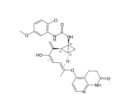 C=C(/C(O)=C\C=C(/C)Oc1ccnc2c1CCC(=O)N2)[C@@H]1[C@@H]2C[C@@]12NC(=O)Nc1cc(OC)ccc1Cl